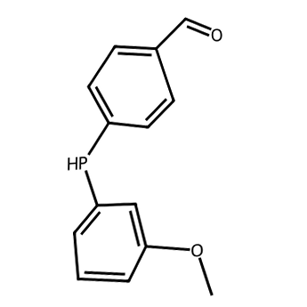 COc1cccc(Pc2ccc(C=O)cc2)c1